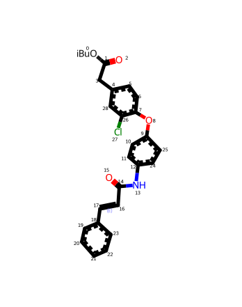 CC(C)COC(=O)Cc1ccc(Oc2ccc(NC(=O)/C=C/c3ccccc3)cc2)c(Cl)c1